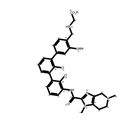 COc1cc(-c2cccc(-c3cccc(NC(=O)c4nc5c(n4C)CCN(C)C5)c3Cl)c2Cl)ccc1CNCC(=O)O